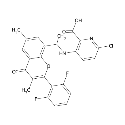 Cc1cc(C(C)Nc2ccc(Cl)nc2C(=O)O)c2oc(-c3c(F)cccc3F)c(C)c(=O)c2c1